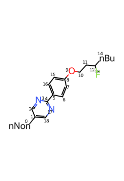 CCCCCCCCCc1cnc(-c2ccc(OCCC(F)CCCC)cc2)nc1